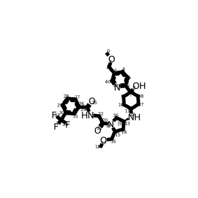 COCc1ccc(C2(O)CCC(N[C@H]3CC(COC)N(C(=O)CNC(=O)c4cccc(C(F)(F)F)c4)C3)CC2)nc1